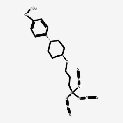 CCCCOc1ccc([C@H]2CC[C@H](OCCC[Si](N=C=S)(N=C=S)N=C=S)CC2)cc1